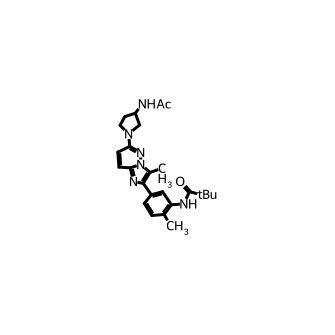 CC(=O)NC1CCN(c2ccc3nc(-c4ccc(C)c(NC(=O)C(C)(C)C)c4)c(C)n3n2)C1